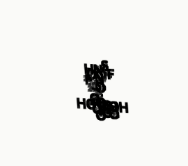 O=c1[nH]c(=S)c(F)cn1[C@@H]1O[C@H](COP(=O)(O)OP(=O)(O)OP(=O)(O)O)CC1F